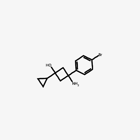 NC1(c2ccc(Br)cc2)CC(O)(C2CC2)C1